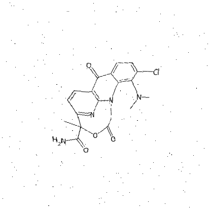 CN(C)c1c(Cl)ccc2c(=O)c3ccc4nc3n(c12)CC(=O)OC4(C)C(N)=O